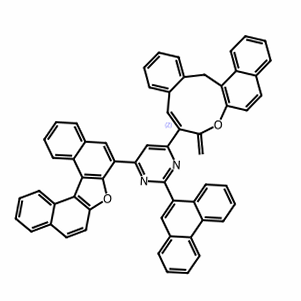 C=C1Oc2ccc3ccccc3c2Cc2ccccc2/C=C\1c1cc(-c2cc3ccccc3c3c2oc2ccc4ccccc4c23)nc(-c2cc3ccccc3c3ccccc23)n1